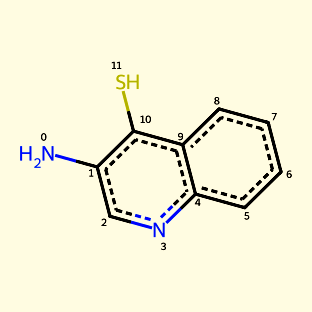 Nc1cnc2ccccc2c1S